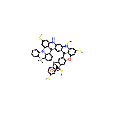 CSc1cc2c3c(c1)N(SC)c1cc4c(cc1B3c1cc3c(cc1O2)N(SC)c1cc(SC)cc2c1B3c1ccccc1O2)B1c2cccc3c2N(c2ccccc2[Si]3(C)C)c2cc(SC)cc(c21)N4